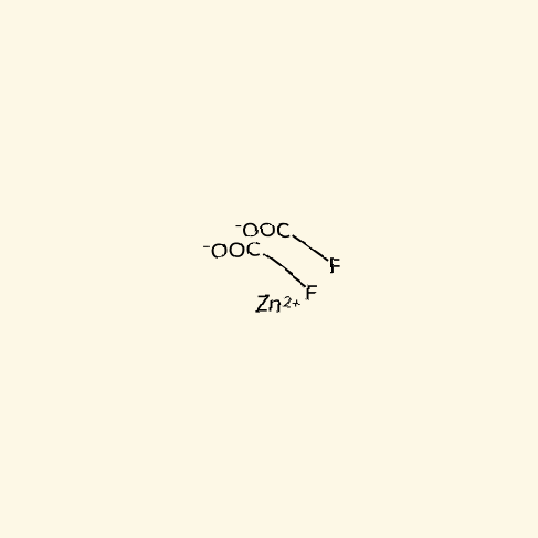 O=C([O-])F.O=C([O-])F.[Zn+2]